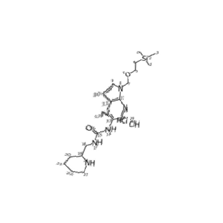 C[Si](C)(C)CCOCn1ccc2nc(NC(=O)NCC3CCCCN3)cnc21.Cl.Cl